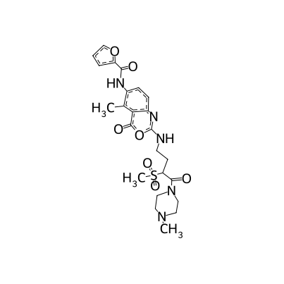 Cc1c(NC(=O)c2ccco2)ccc2nc(NCCC(C(=O)N3CCN(C)CC3)S(C)(=O)=O)oc(=O)c12